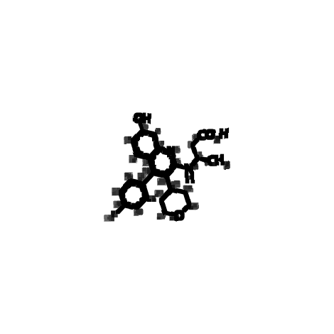 C[C@H](CC(=O)O)Nc1nc2cc(O)ccc2c(-c2ccc(F)cc2)c1C1CCOCC1